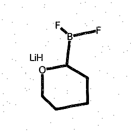 FB(F)C1CCCCO1.[LiH]